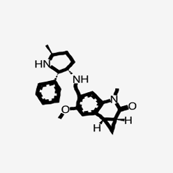 COc1cc2c(cc1CN[C@H]1CC[C@H](C)N[C@H]1c1ccccc1)N(C)C(=O)[C@@H]1C[C@H]21